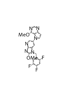 COc1ncnc2ccn(-c3cnc4nc(OC)n(Cc5cc(F)c(F)cc5F)c4c3)c12